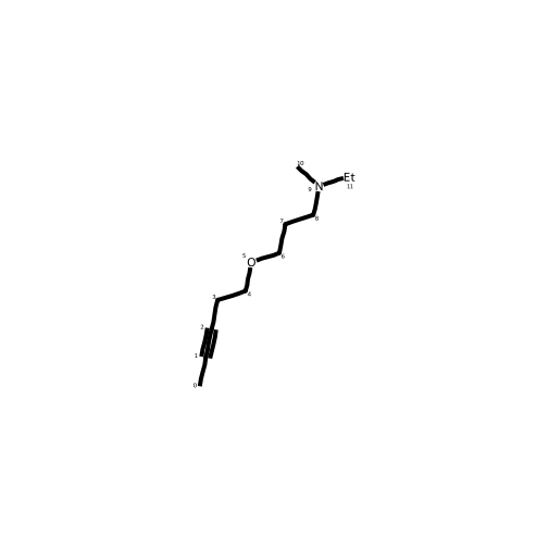 CC#CCCOCCCN(C)CC